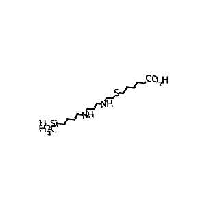 C[SiH2]CCCCNCCCNCCSCCCCCC(=O)O